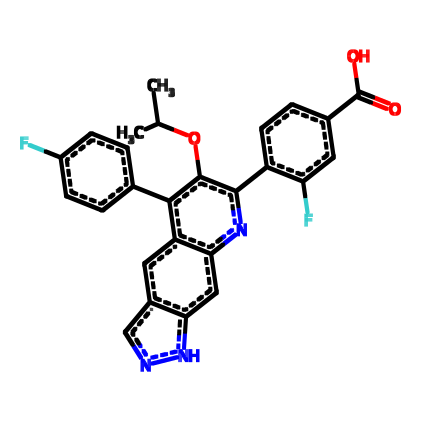 CC(C)Oc1c(-c2ccc(C(=O)O)cc2F)nc2cc3[nH]ncc3cc2c1-c1ccc(F)cc1